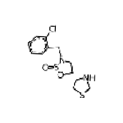 C1CSCN1.O=S1OCCN1Cc1ccccc1Cl